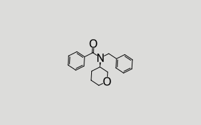 O=C(c1ccccc1)N(Cc1ccccc1)[C@@H]1CCCOC1